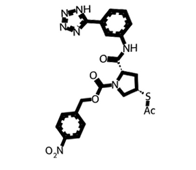 CC(=O)S[C@H]1C[C@@H](C(=O)Nc2cccc(-c3nnn[nH]3)c2)N(C(=O)OCc2ccc([N+](=O)[O-])cc2)C1